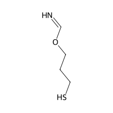 N=COCCCS